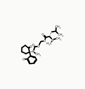 CC(C)C[C@@H](C(=O)OCOC(=O)N(C)[C@]1(c2ccccc2Cl)CCCCC1=O)N(C)C